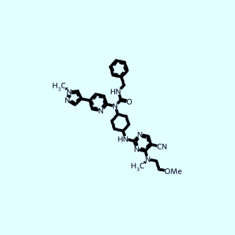 COCCN(C)c1nc(NC2CCC(N(C(=O)NCc3ccccc3)c3ccc(-c4cnn(C)c4)cn3)CC2)ncc1C#N